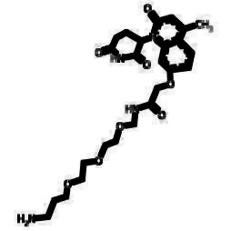 Cc1cc(=O)n(C2CCC(=O)NC2=O)c2cc(OCC(=O)NCOCCOCCOCCCN)ccc12